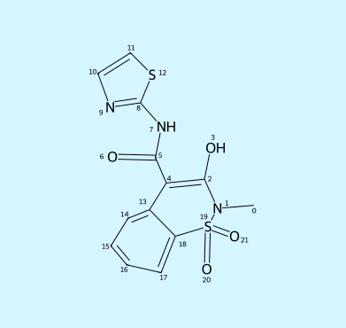 CN1C(O)=C(C(=O)Nc2nccs2)c2ccccc2S1(=O)=O